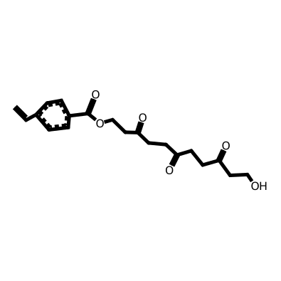 C=Cc1ccc(C(=O)OCCC(=O)CCC(=O)CCC(=O)CCO)cc1